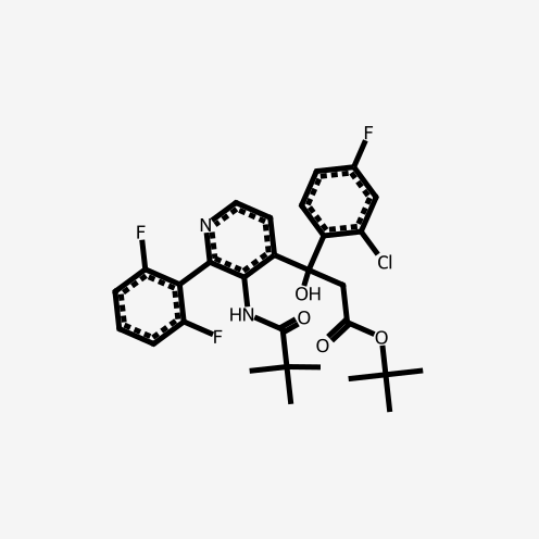 CC(C)(C)OC(=O)CC(O)(c1ccc(F)cc1Cl)c1ccnc(-c2c(F)cccc2F)c1NC(=O)C(C)(C)C